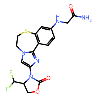 NC(=O)CNc1ccc2c(c1)SCCn1cc(N3C(=O)OCC3C(F)F)nc1-2